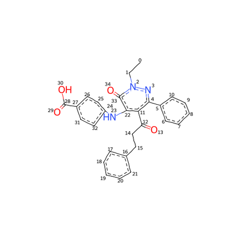 CCn1nc(-c2ccccc2)c(C(=O)CCc2ccccc2)c(Nc2ccc(C(=O)O)cc2)c1=O